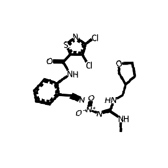 CN/C(=N/[N+](=O)[O-])NCC1CCOC1.N#Cc1ccccc1NC(=O)c1snc(Cl)c1Cl